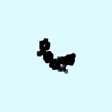 Cc1ccc2nc(-c3nc(-c4ccc(C(=O)N5CCN(C)CC5)cc4)cnc3N)[nH]c2c1